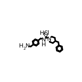 Cl.NCc1ccc(CNC(=O)N2CCC(Cc3ccccc3)CC2)cc1